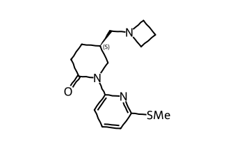 CSc1cccc(N2C[C@H](CN3CCC3)CCC2=O)n1